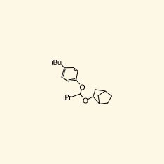 CCC(C)c1ccc(OC(OC2CC3CCC2C3)C(C)C)cc1